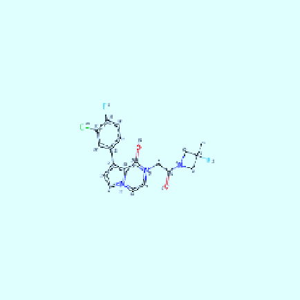 CC1(F)CN(C(=O)Cn2ccn3ccc(-c4ccc(F)c(Cl)c4)c3c2=O)C1